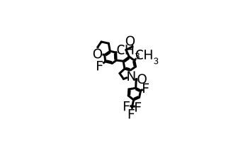 Cc1cc2c(c(-c3cc(F)c4c(c3C)CCCO4)c1CC=O)CCN2C(=O)c1ccc(C(F)(F)F)cc1F